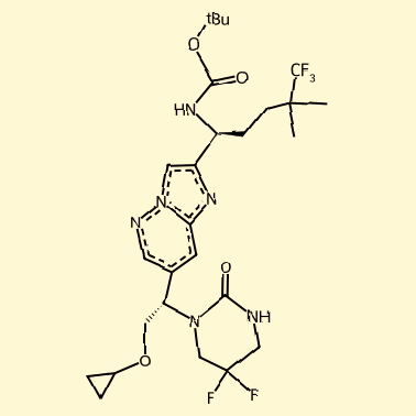 CC(C)(C)OC(=O)N[C@@H](CCC(C)(C)C(F)(F)F)c1cn2ncc([C@@H](COC3CC3)N3CC(F)(F)CNC3=O)cc2n1